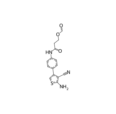 N#Cc1c(-c2ccc(NC(=O)CCOC=O)cc2)csc1N